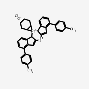 CCC1=Cc2c(-c3ccc(C)cc3)cccc2[CH]1[Hf+2]1([CH]2C(CC)=Cc3c(-c4ccc(C)cc4)cccc32)[CH]2CCCC[CH]21.[Cl-].[Cl-]